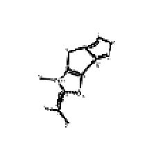 CC(C)=C1SC2=C(CC3=CCC=C32)N1C